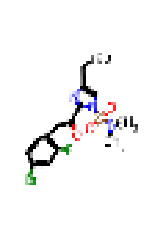 CN(C)S(=O)(=O)n1cc(CC(C)(C)C)nc1C(=O)Cc1ccc(Br)cc1F